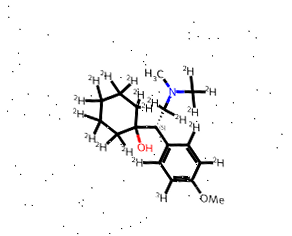 [2H]c1c([2H])c([C@@H](C([2H])([2H])N(C)C([2H])([2H])[2H])C2(O)C([2H])([2H])C([2H])([2H])C([2H])([2H])C([2H])([2H])C2([2H])[2H])c([2H])c([2H])c1OC